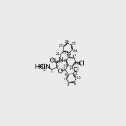 Cl.NCC1OC(c2ccccc2Cl)c2cc(Cl)ccc2N(Cc2ccccc2)C1=O